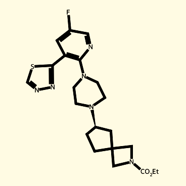 CCOC(=O)N1CC2(CC[C@@H](N3CCN(c4ncc(F)cc4-c4nncs4)CC3)C2)C1